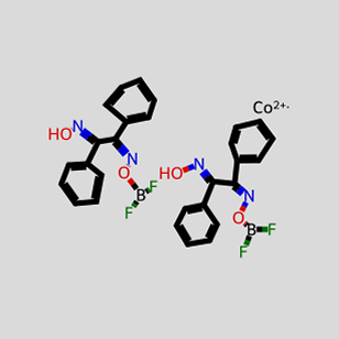 ON=C(C(=NOB(F)F)c1ccccc1)c1ccccc1.ON=C(C(=NOB(F)F)c1ccccc1)c1ccccc1.[Co+2]